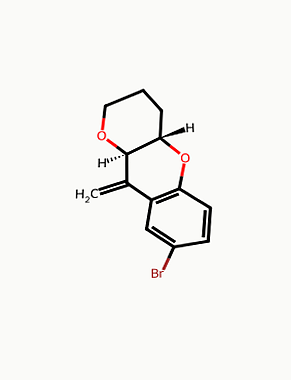 C=C1c2cc(Br)ccc2O[C@H]2CCCO[C@H]12